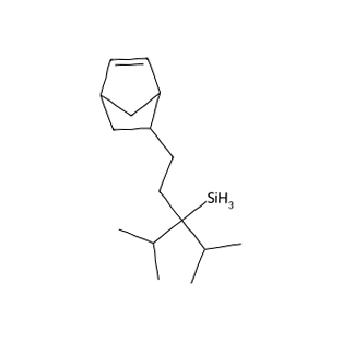 CC(C)C([SiH3])(CCC1CC2C=CC1C2)C(C)C